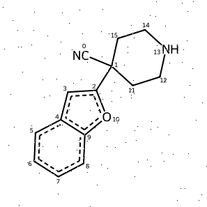 N#CC1(c2cc3ccccc3o2)CCNCC1